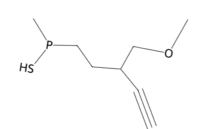 C#CC(CCP(C)S)COC